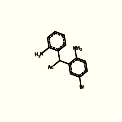 CC(=O)C(c1ccccc1N)c1cc(Br)ccc1N